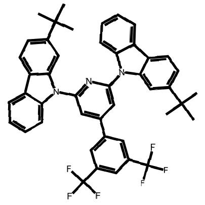 CC(C)(C)c1ccc2c3ccccc3n(-c3cc(-c4cc(C(F)(F)F)cc(C(F)(F)F)c4)cc(-n4c5ccccc5c5ccc(C(C)(C)C)cc54)n3)c2c1